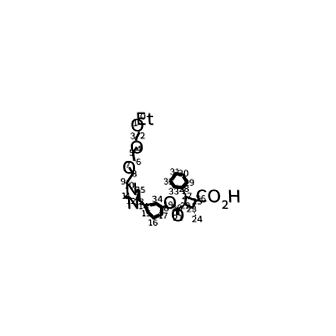 CCOCCOCCOCCn1cnc(-c2cccc(OC(=O)[C@@H]3[C@@H](C)[C@@H](C(=O)O)[C@@H]3c3ccccc3)c2)c1